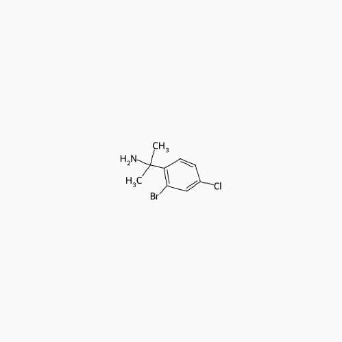 CC(C)(N)c1ccc(Cl)cc1Br